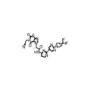 C[C@@H](C(=O)Nc1ccnc(-c2cnc(N3CC4C(C3)C4(F)F)nc2)n1)n1cnc2c1c(=O)n(CC#N)c(=O)n2C